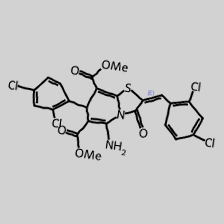 COC(=O)C1=C(N)n2c(s/c(=C/c3ccc(Cl)cc3Cl)c2=O)=C(C(=O)OC)C1c1ccc(Cl)cc1Cl